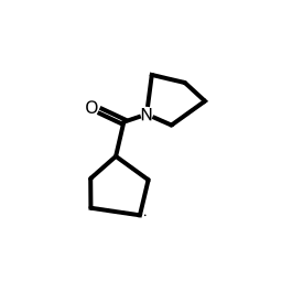 O=C(C1C[CH]CC1)N1CCCC1